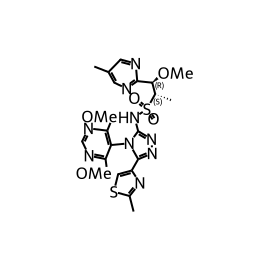 COc1ncnc(OC)c1-n1c(NS(=O)(=O)[C@@H](C)[C@H](OC)c2ncc(C)cn2)nnc1-c1csc(C)n1